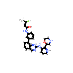 C/C(F)=C/C(=O)Nc1cccc(-c2cccc3cnc(Nc4cccnc4C4CNCCO4)nc23)c1